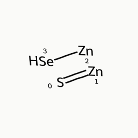 [S]=[Zn].[Zn][SeH]